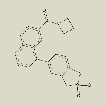 O=C(c1ccc2cncc(-c3ccc4c(c3)CS(=O)(=O)N4)c2c1)N1CCC1